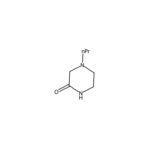 CCCN1CCNC(=O)C1